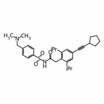 CC(C)c1cc(C#CC2CCCC2)cc(C(C)C)c1CC(=O)NS(=O)(=O)c1ccc(CN(C)C)cc1